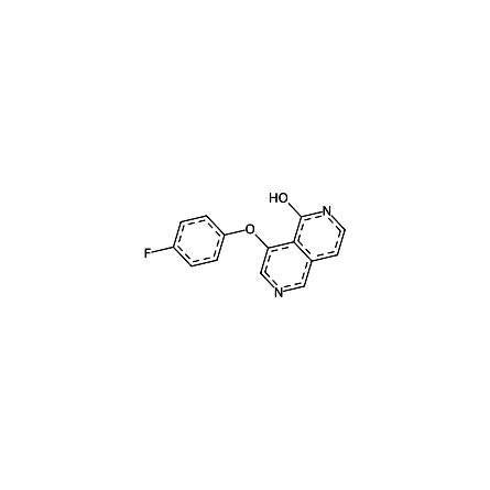 Oc1nccc2cncc(Oc3ccc(F)cc3)c12